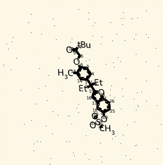 CCC(CC)(c1ccc(OCC(=O)C(C)(C)C)c(C)c1)c1cc2cc(OS(C)(=O)=O)ccc2o1